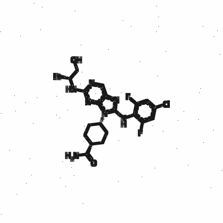 CC[C@@H](CO)Nc1ncc2nc(Nc3c(F)cc(Cl)cc3F)n([C@H]3CC[C@H](C(N)=O)CC3)c2n1